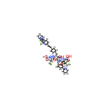 COC(=O)NC(C(=O)NC(Cc1ccc(C#Cc2ccc(N3CC4CCC(C3)N4CC(F)(F)F)nc2)cc1)C(O)CN(Cc1c(F)cc(-c2ccccn2)cc1Cl)NC(=O)C(NC(=O)O)C(C)(C)CF)C(C)(C)CF